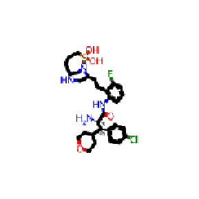 N[C@H](C(=O)Nc1cccc(F)c1CCC1CNC2CCCS(O)(O)N1C2)[C@@H](c1ccc(Cl)cc1)C1CCOCC1